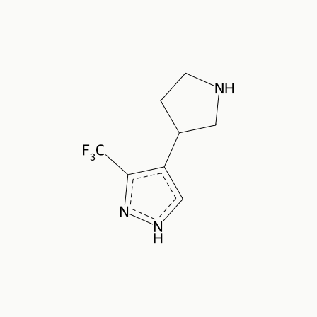 FC(F)(F)c1n[nH]cc1C1CCNC1